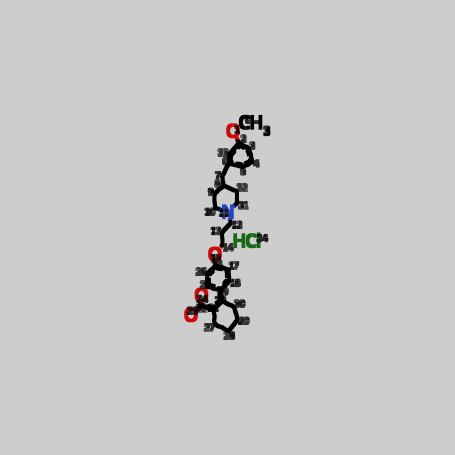 COc1cccc(CC2CCN(CCCOc3ccc4c5c(c(=O)oc4c3)CCCC5)CC2)c1.Cl